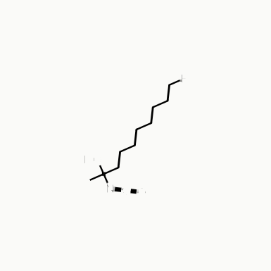 CC(O)(CCCCCCCCF)N=C=O